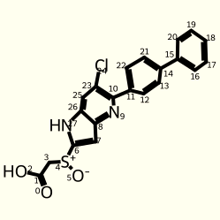 O=C(O)C[S+]([O-])c1cc2nc(-c3ccc(-c4ccccc4)cc3)c(Cl)cc2[nH]1